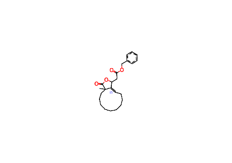 CC12CCCCCCCCC/C=C/1C(CC(=O)OCc1ccccc1)OC2=O